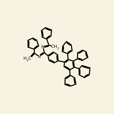 C=C(/N=C(\N=C(/C)c1ccccc1)c1ccc(-c2cc(-c3ccccc3)c(-c3ccccc3)c(-c3ccccc3)c2-c2ccccc2)cc1)c1ccccc1